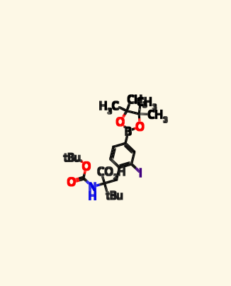 CC(C)(C)OC(=O)NC(Cc1ccc(B2OC(C)(C)C(C)(C)O2)cc1I)(C(=O)O)C(C)(C)C